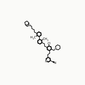 Cc1c(CCCCN2CC3CCC2C3)cccc1-c1cccc(CCc2cc(CCc3cncc(C#N)c3)c(CN3CCCCC3)cc2Cl)c1C